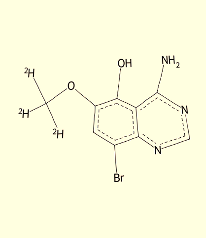 [2H]C([2H])([2H])Oc1cc(Br)c2ncnc(N)c2c1O